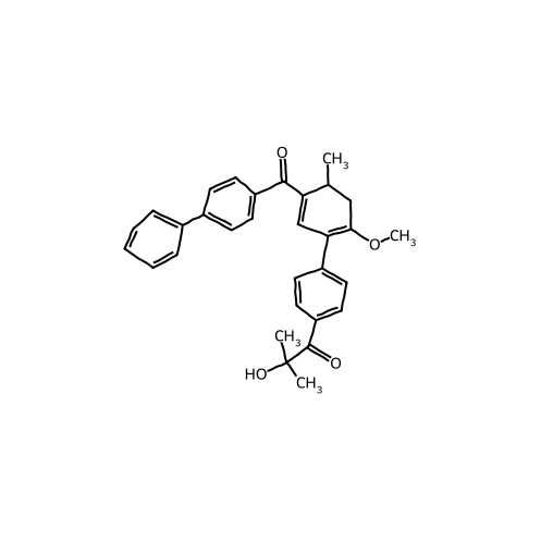 COC1=C(c2ccc(C(=O)C(C)(C)O)cc2)C=C(C(=O)c2ccc(-c3ccccc3)cc2)C(C)C1